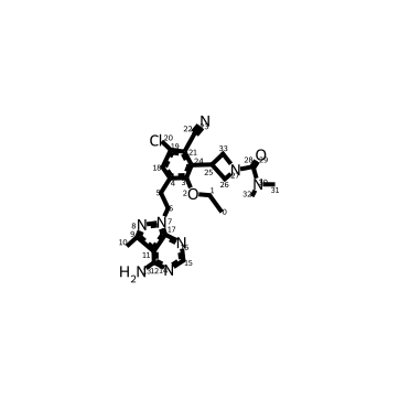 CCOc1c(CCn2nc(C)c3c(N)ncnc32)cc(Cl)c(C#N)c1C1CN(C(=O)N(C)C)C1